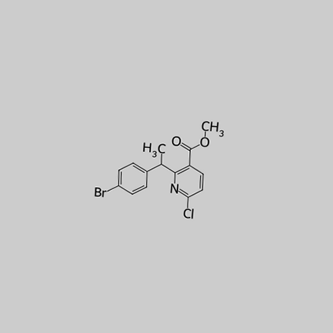 COC(=O)c1ccc(Cl)nc1C(C)c1ccc(Br)cc1